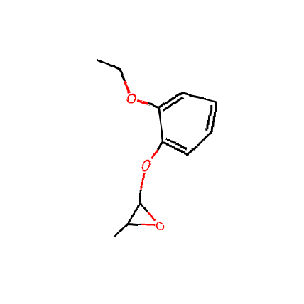 CCOc1ccccc1OC1OC1C